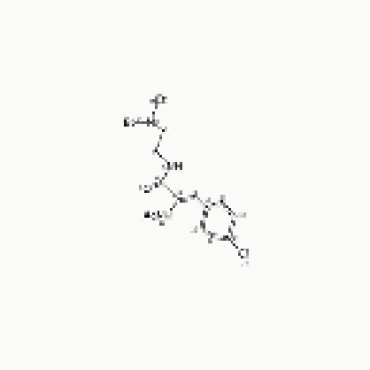 CCN(CC)CCNC(=O)/C(=C/c1ccc(Cl)cc1)NC(C)=O